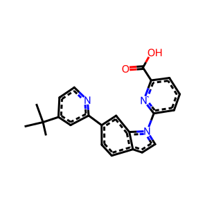 CC(C)(C)c1ccnc(-c2ccc3ccn(-c4cccc(C(=O)O)n4)c3c2)c1